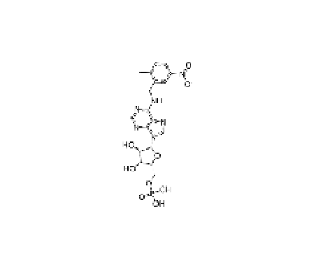 Cc1ccc([N+](=O)[O-])cc1CNc1ncnc2c1ncn2[C@@H]1O[C@H](COP(=O)(O)O)[C@@H](O)[C@H]1O